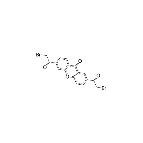 O=C(CBr)c1ccc2c(=O)c3cc(C(=O)CBr)ccc3oc2c1